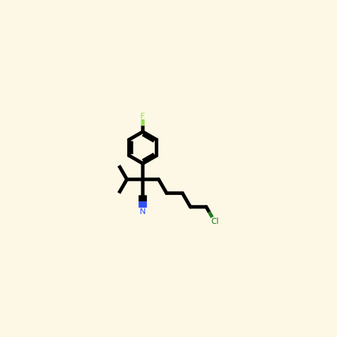 CC(C)C(C#N)(CCCCCCl)c1ccc(F)cc1